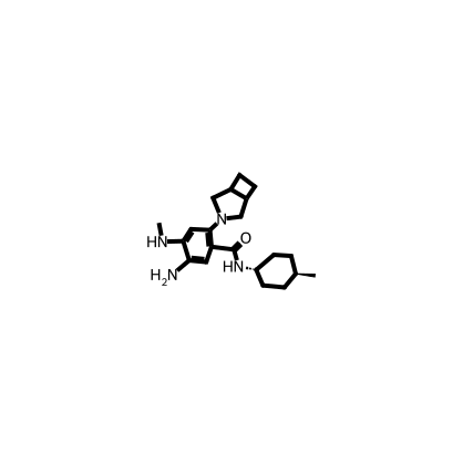 CNc1cc(N2CC3CCC3C2)c(C(=O)N[C@H]2CC[C@H](C)CC2)cc1N